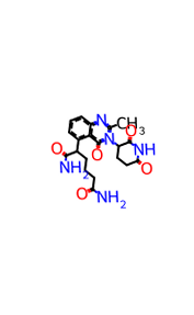 Cc1nc2cccc(C(CCCC(N)=O)C(N)=O)c2c(=O)n1C1CCC(=O)NC1=O